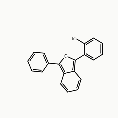 Brc1ccccc1-c1oc(-c2ccccc2)c2ccccc12